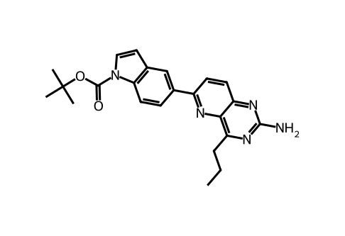 CCCc1nc(N)nc2ccc(-c3ccc4c(ccn4C(=O)OC(C)(C)C)c3)nc12